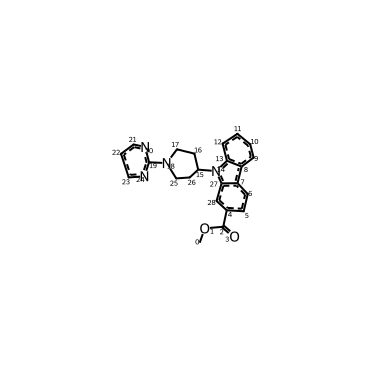 COC(=O)c1ccc2c3ccccc3n(C3CCN(c4ncccn4)CC3)c2c1